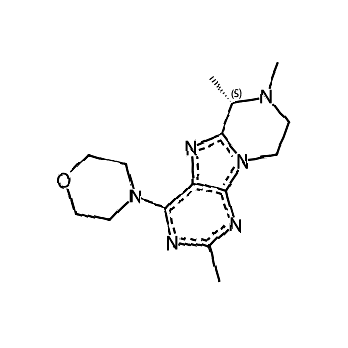 Cc1nc(N2CCOCC2)c2nc3n(c2n1)CCN(C)[C@H]3C